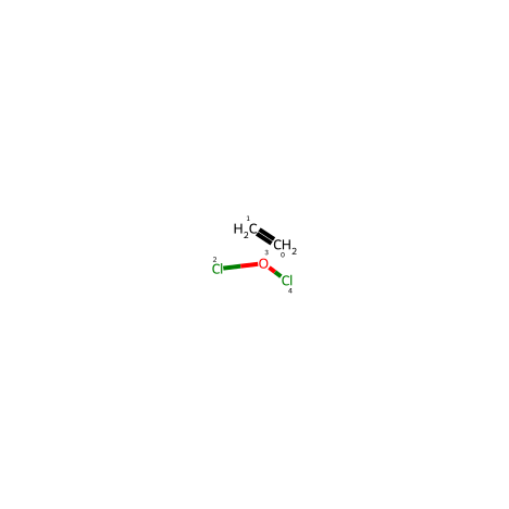 C=C.ClOCl